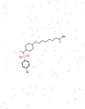 CC(C)N(C)CCCCCCOC1CCC(N(C)S(=O)(=O)c2ccc(Br)cc2)CC1